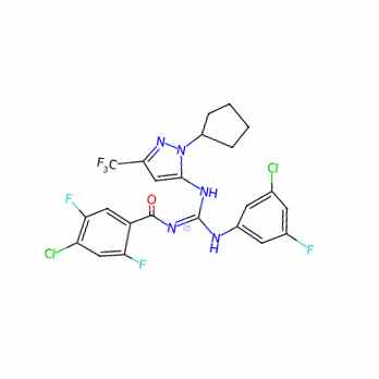 O=C(/N=C(/Nc1cc(F)cc(Cl)c1)Nc1cc(C(F)(F)F)nn1C1CCCC1)c1cc(F)c(Cl)cc1F